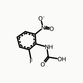 O=C(O)Nc1c(F)cccc1[N+](=O)[O-]